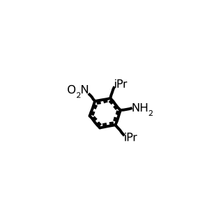 CC(C)c1ccc([N+](=O)[O-])c(C(C)C)c1N